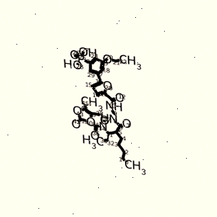 CCCCCC(C(=O)NCNC(=O)c1ccc(-c2cc(OCC)cc(P(=O)(O)O)c2)o1)[C@@H](CC)N(C=O)OCc1oc(=O)oc1C